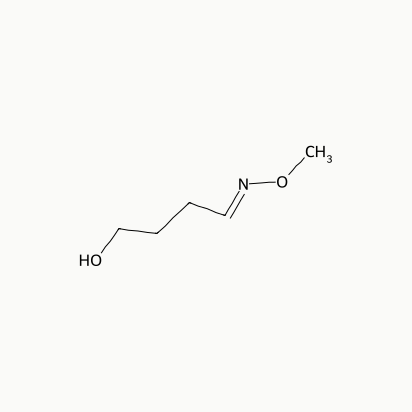 CON=CCCCO